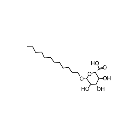 CCCCCCCCCCCCO[C@@H]1O[C@H](C(=O)O)[C@@H](O)[C@H](O)[C@H]1O